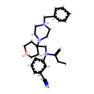 C=C(CC)N(CC1(N2CCN(Cc3ccccc3)CC2)CCOCC1)c1cccc(C#N)c1